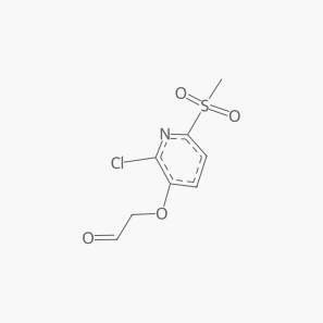 CS(=O)(=O)c1ccc(OCC=O)c(Cl)n1